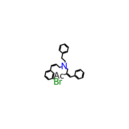 CC(=O)/C(=C/c1ccccc1)CN(C/C=C\c1cccc(Br)c1)CCc1ccccc1